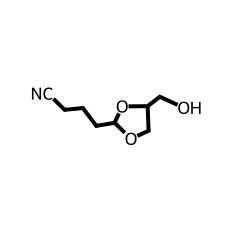 N#CCCCC1OCC(CO)O1